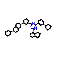 c1ccc(-c2cccc(-c3nc(-c4cccc(-c5ccc6cc(-c7ccccc7)ccc6c5)c4)nc(-c4cccc5ccccc45)n3)c2)cc1